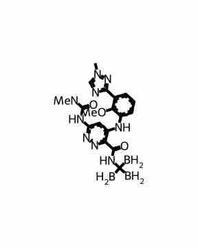 BC(B)(B)NC(=O)c1nnc(NC(=O)NC)cc1Nc1cccc(-c2ncn(C)n2)c1OC